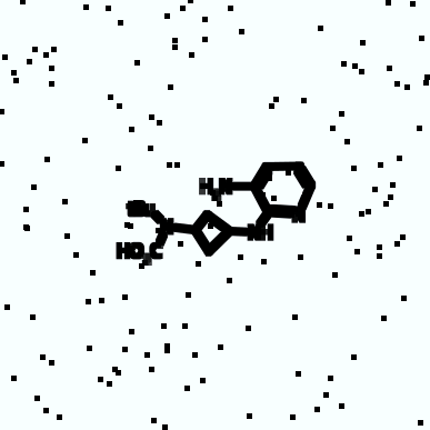 CC(C)(C)N(C(=O)O)C1CC(Nc2ncccc2N)C1